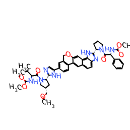 COC[C@H]1C[C@@H](c2ncc(-c3ccc4c(c3)COc3cc5c(ccc6nc([C@@H]7CCCN7C(=O)[C@H](NC(=O)OC)c7ccccc7)[nH]c65)cc3-4)[nH]2)N(C(=O)C(NC(=O)OC)C(C)C)C1